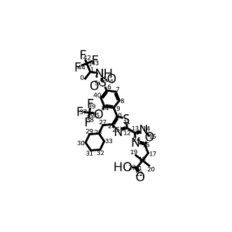 CC(NS(=O)(=O)c1ccc(-c2sc(-c3noc(CC(C)(C)C(=O)O)n3)nc2CC2CCCCC2)c(OC(F)(F)F)c1)C(F)(F)F